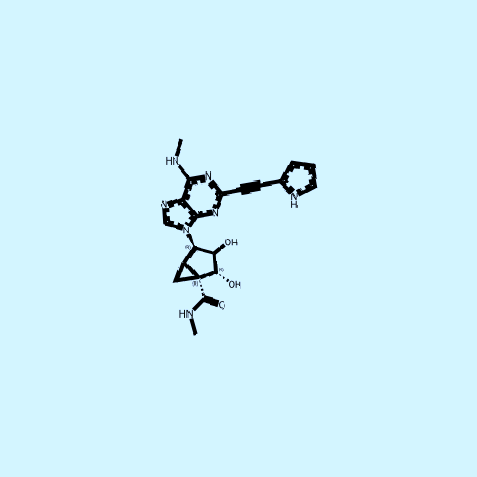 CNC(=O)[C@]12CC1[C@@H](n1cnc3c(NC)nc(C#Cc4ccc[nH]4)nc31)C(O)[C@@H]2O